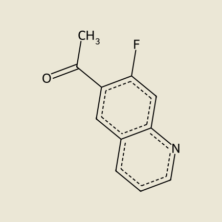 CC(=O)c1cc2cccnc2cc1F